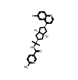 CC(C)(NC(=O)c1ccc(C#N)nc1)[C@H]1C[C@H]2C[C@@H](c3ccnc4ccc(F)cc34)C[C@H]2C1